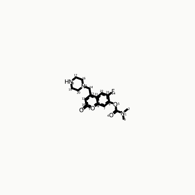 CN(C)C(=O)Oc1cc2oc(=O)cc(CN3CCNCC3)c2cc1F